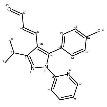 CC(C)c1nn(-c2ccccn2)c(-c2ccc(F)cc2)c1/C=C/C=O